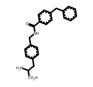 NC(Cc1ccc(CNC(=O)c2ccc(Cc3ccccc3)cc2)cc1)C(=O)O